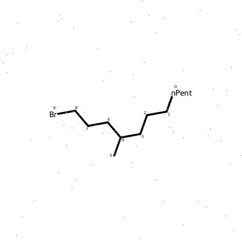 CCCCCCCCC(C)CCCBr